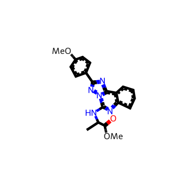 COC(=O)C(C)Nc1nc2ccccc2c2nc(-c3ccc(OC)cc3)nn12